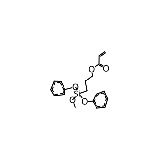 C=CC(=O)OCCC[Si](OC)(Oc1ccccc1)Oc1ccccc1